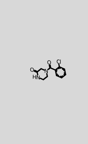 O=C1CN(C(=O)c2ccccc2Cl)CCN1